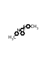 Cc1ccc(N=C(C=CSc2ccc(C)cc2)c2ccccc2F)cc1